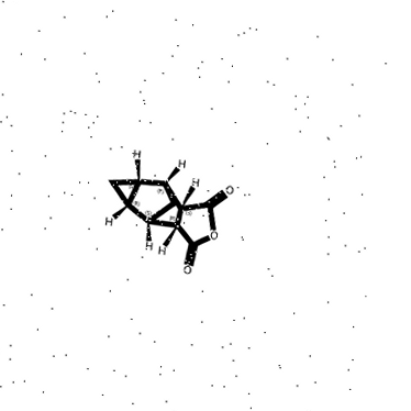 O=C1OC(=O)[C@H]2[C@@H]3C[C@@H]([C@@H]4C[C@@H]43)[C@@H]12